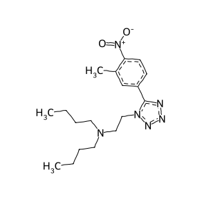 CCCCN(CCCC)CCn1nnnc1-c1ccc([N+](=O)[O-])c(C)c1